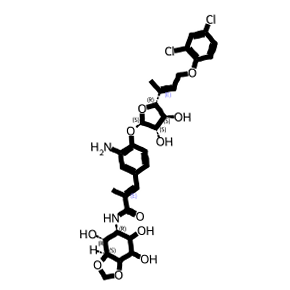 C/C(=C\c1ccc(O[C@@H]2O[C@H](/C(C)=C/COc3ccc(Cl)cc3Cl)[C@@H](O)[C@@H]2O)c(N)c1)C(=O)N[C@@H]1C(O)C(O)C2OCO[C@H]2[C@@H]1O